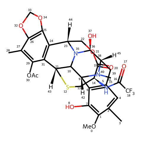 COc1c(C)cc2c(c1O)[C@@H]1C3[C@@H]4SC[C@H](NC(=O)C(F)(F)F)C(=O)OC[C@@H](c5c6c(c(C)c(OC(C)=O)c54)OCO6)N3[C@@H](O)[C@H](C2)N1C